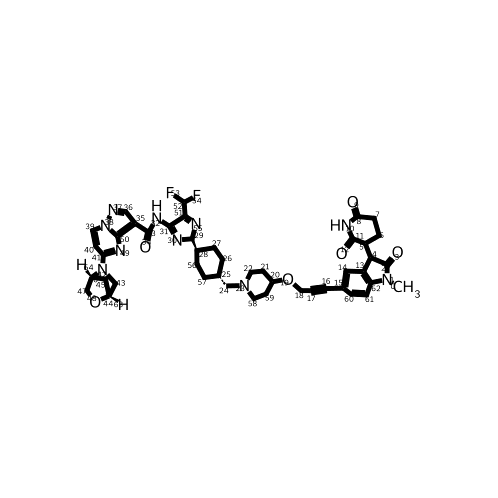 CN1C(=O)C(C2CCC(=O)NC2=O)c2cc(C#CCOC3CCN(C[C@H]4CC[C@H](C5N=C(NC(=O)c6cnn7ccc(N8C[C@H]9C[C@@H]8CO9)nc67)C(C(F)F)=N5)CC4)CC3)ccc21